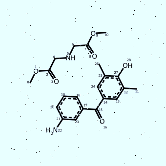 COC(=O)CNCC(=O)OC.Cc1cc(C(=O)c2cccc(N)c2)cc(C)c1O